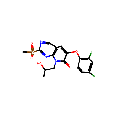 CC(O)Cn1c(=O)c(Oc2ccc(F)cc2F)cc2cnc(S(C)(=O)=O)nc21